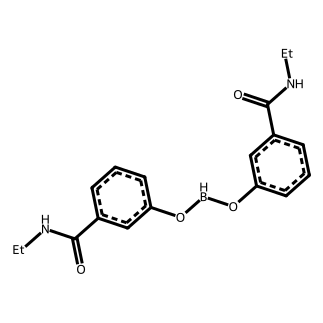 CCNC(=O)c1cccc(OBOc2cccc(C(=O)NCC)c2)c1